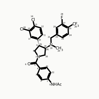 CC(=O)Nc1ccc(C(=O)N2C[C@H](c3ccc(Cl)c(Cl)c3)[C@@H](N(C)Cc3ccc(C(F)(F)F)c(F)c3)C2)cc1